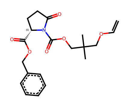 C=COCC(C)(C)COC(=O)N1C(=O)CC[C@H]1C(=O)OCc1ccccc1